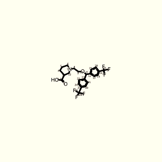 O=C(O)C1CCCN(CCOC(c2ccc(C(F)(F)F)cc2)c2ccc(C(F)(F)F)cc2)C1